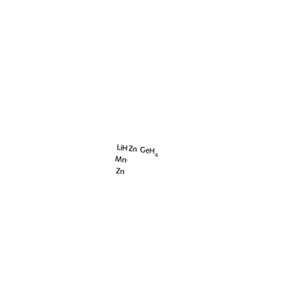 [GeH4].[LiH].[Mn].[Zn].[Zn]